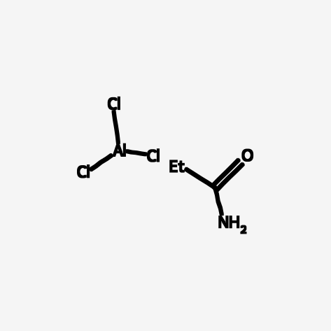 CCC(N)=O.[Cl][Al]([Cl])[Cl]